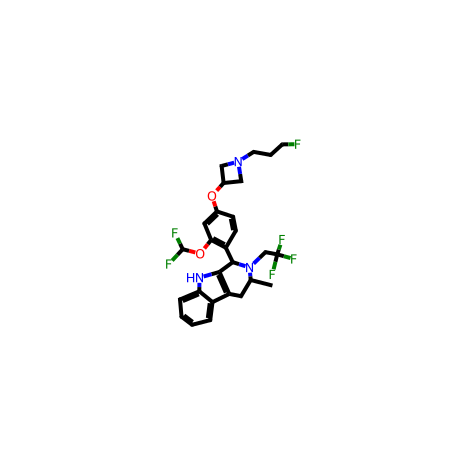 CC1Cc2c([nH]c3ccccc23)C(c2ccc(OC3CN(CCCF)C3)cc2OC(F)F)N1CC(F)(F)F